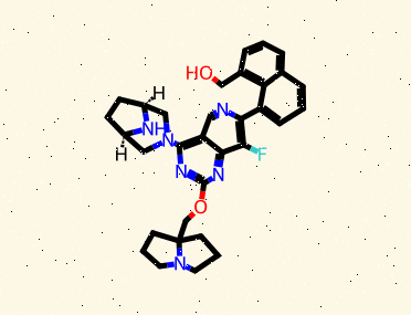 OCc1cccc2cccc(-c3ncc4c(N5C[C@H]6CC[C@@H](C5)N6)nc(OCC56CCCN5CCC6)nc4c3F)c12